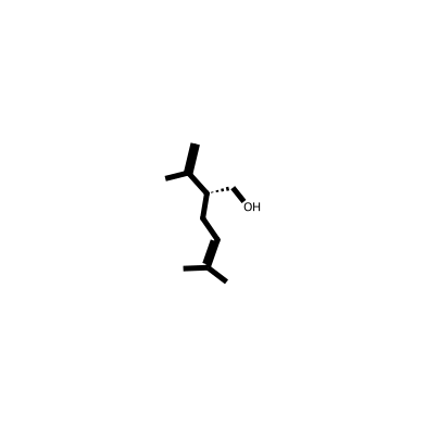 C=C(C)[C@H](CO)CC=C(C)C